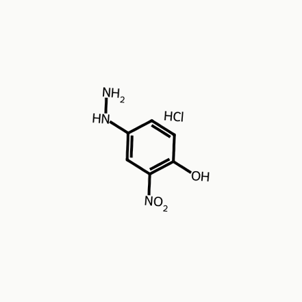 Cl.NNc1ccc(O)c([N+](=O)[O-])c1